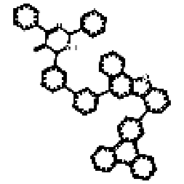 C=C1C(c2ccccc2)=NC(c2ccccc2)NC1c1cccc(-c2cccc(-c3cc4c(oc5cccc(-c6ccc7c8ccccc8c8ccccc8c7c6)c54)c4ccccc34)c2)c1